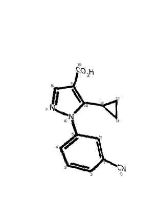 N#Cc1cccc(-n2ncc(C(=O)O)c2C2CC2)c1